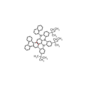 CCC(C)(C)c1ccc2c(c1)B1c3cc(C(C)(C)CC)ccc3N(c3cccc4ccccc34)c3cccc(c31)N2c1ccc(C(C)(C)C)cc1-c1ccc2c3ccccc3c3ccccc3c2c1